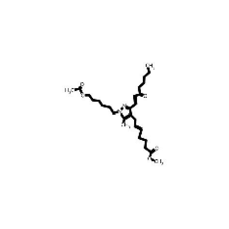 CCCCCC(=O)C=Cc1nn(CCCCCCOC(C)=O)c(C)c1CC=CCCCC(=O)OC